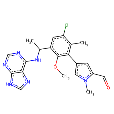 COc1c(C(C)Nc2ncnc3[nH]cnc23)cc(Cl)c(C)c1-c1cc(C=O)n(C)c1